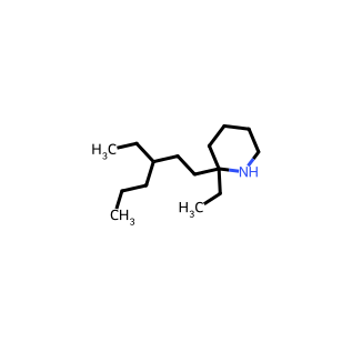 CCCC(CC)CCC1(CC)CCCCN1